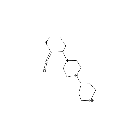 O=C=C1[N]CCCC1N1CCN(C2CCNCC2)CC1